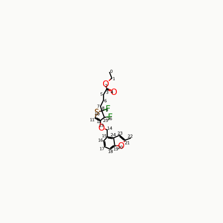 CCOC(=O)CCCC1(F)SC=C(OCc2cccc3oc(C)cc23)C1F